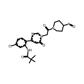 CC(C)(C)C(=O)Nc1cc(Cl)ccc1-c1cc(=O)n(CC(=O)N2CCC(N=O)CC2)cn1